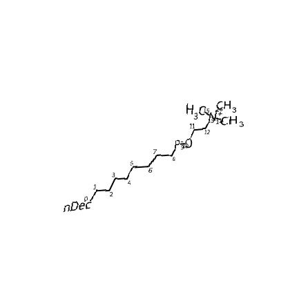 CCCCCCCCCCCCCCCCCC[P-]OCC[N+](C)(C)C